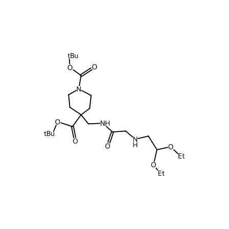 CCOC(CNCC(=O)NCC1(C(=O)OC(C)(C)C)CCN(C(=O)OC(C)(C)C)CC1)OCC